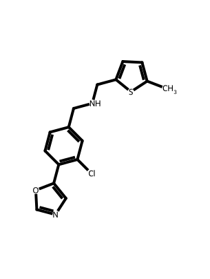 Cc1ccc(CNCc2ccc(-c3cnco3)c(Cl)c2)s1